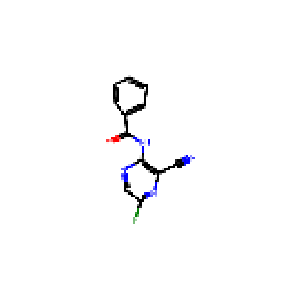 N#Cc1nc(F)cnc1NC(=O)c1ccccc1